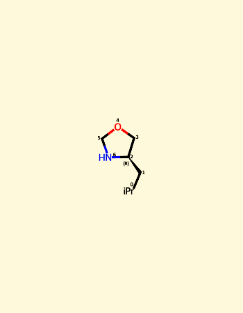 CC(C)C[C@@H]1COCN1